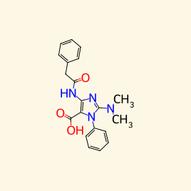 CN(C)c1nc(NC(=O)Cc2ccccc2)c(C(=O)O)n1-c1ccccc1